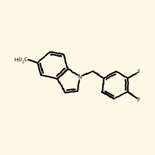 O=C(O)c1ccc2c(ccn2Cc2ccc(F)c(F)c2)c1